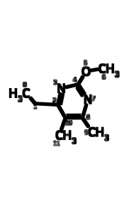 CCc1nc(OC)nc(C)c1C